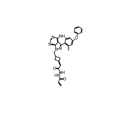 C=CC(=O)NNC(=O)C=C1CC(Cn2nc(-c3ccc(Oc4ccccc4)cc3F)c3c(N)ncnc32)C1